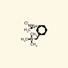 C=C.C[N+](C)(C)Cc1ccccc1.N.[Cl-]